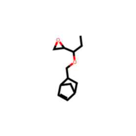 CCC(OCC1CC2C=CC1C2)C1CO1